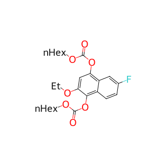 CCCCCCOC(=O)Oc1cc(OCC)c(OC(=O)OCCCCCC)c2ccc(F)cc12